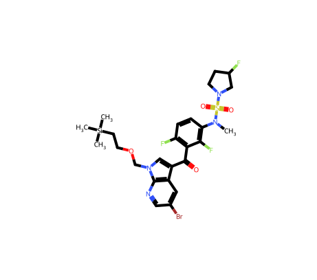 CN(c1ccc(F)c(C(=O)c2cn(COCC[Si](C)(C)C)c3ncc(Br)cc23)c1F)S(=O)(=O)N1CCC(F)C1